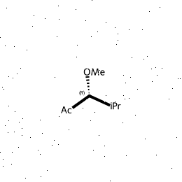 CO[C@@H](C(C)=O)C(C)C